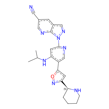 CC(C)Nc1cc(-n2ncc3cc(C#N)cnc32)ncc1-c1cc([C@@H]2CCCCN2)no1